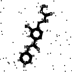 CC(C)(C)OC(=O)NCc1ccc(C(=O)Nc2ccncc2)cc1Br